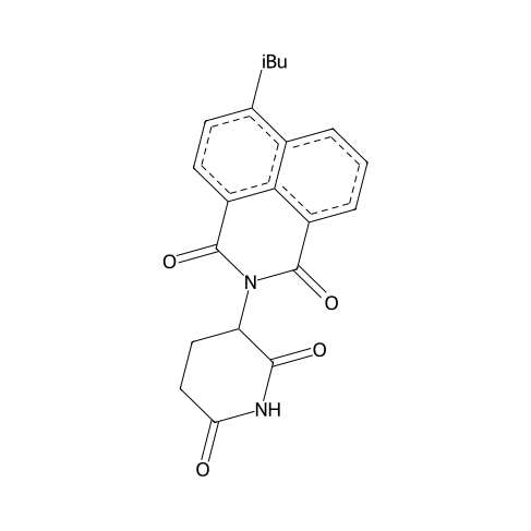 CCC(C)c1ccc2c3c(cccc13)C(=O)N(C1CCC(=O)NC1=O)C2=O